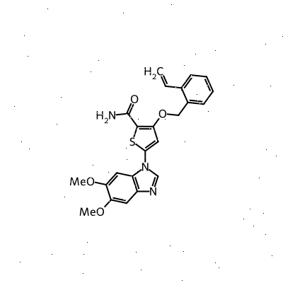 C=Cc1ccccc1COc1cc(-n2cnc3cc(OC)c(OC)cc32)sc1C(N)=O